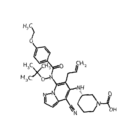 C=CCc1c(N[C@H]2CCCN(C(=O)O)C2)c(C#N)c2ccnn2c1N(OC(C)(C)C)C(=O)c1ccc(OCC)cc1